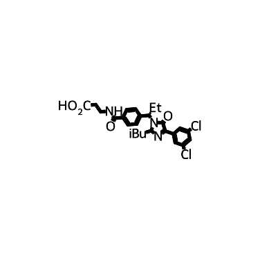 CCC(C)C1N=C(c2cc(Cl)cc(Cl)c2)C(=O)N1[C@H](CC)c1ccc(C(=O)NCCC(=O)O)cc1